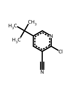 CC(C)(C)c1cnc(Cl)c(C#N)c1